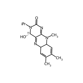 CC1=CC2N=C3C(=NC(=O)N(C(C)C)[C@H]3O)N(C)C2C=C1C